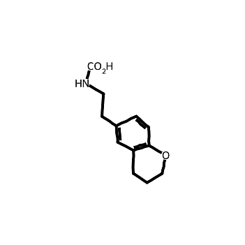 O=C(O)NCCc1ccc2c(c1)CCCO2